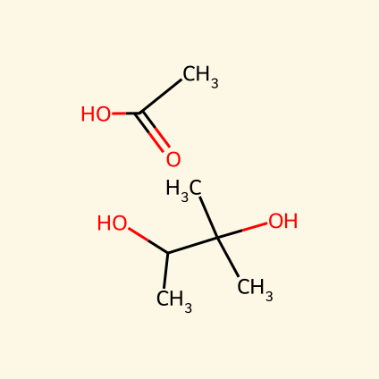 CC(=O)O.CC(O)C(C)(C)O